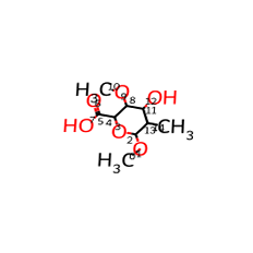 COC1OC(C(=O)O)C(OC)C(O)C1C